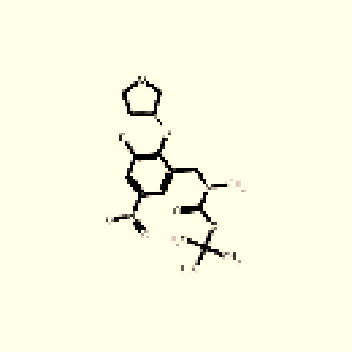 CN(Cc1cc([N+](=O)[O-])cc(F)c1O[C@@H]1CCOC1)C(=O)OC(C)(C)C